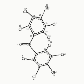 O=C(c1c(Cl)c(Cl)c(O)c(Cl)c1Cl)c1c(Cl)c(Cl)c(O)c(Cl)c1Cl